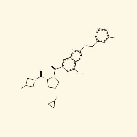 COc1cc(C(=O)N2C[C@H](OC3CC3)C[C@H]2C(=O)N2CC(F)C2)cc2nc(NCc3cc(Cl)ccn3)oc12